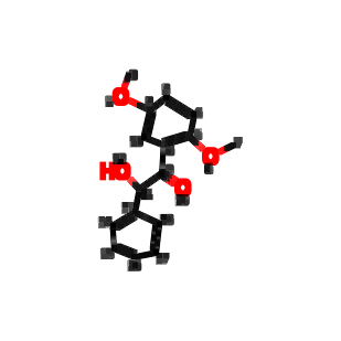 COc1ccc(OC)c(C(=O)C(O)c2ccccc2)c1